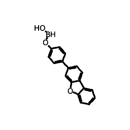 OBOc1ccc(-c2ccc3c(c2)oc2ccccc23)cc1